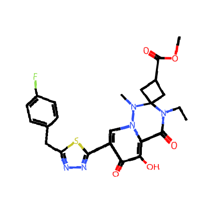 CCN1C(=O)c2c(O)c(=O)c(-c3nnc(Cc4ccc(F)cc4)s3)cn2N(C)C12CC(C(=O)OC)C2